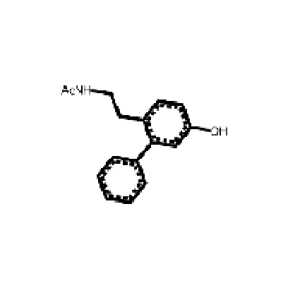 CC(=O)NCCc1ccc(O)cc1-c1ccccc1